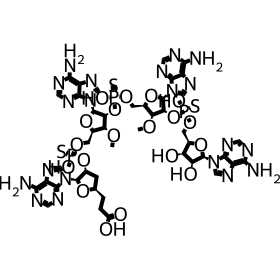 CO[C@H]1[C@@H](OP(O)(=S)OC[C@H]2O[C@@H](n3cnc4c(N)ncnc43)[C@H](O)[C@@H]2O)[C@H](n2cnc3c(N)ncnc32)O[C@@H]1COP(O)(=S)O[C@@H]1[C@H](OC)[C@@H](COP(O)(=S)O[C@@H]2C[C@@H](CCC(=O)O)O[C@H]2n2cnc3c(N)ncnc32)O[C@H]1n1cnc2c(N)ncnc21